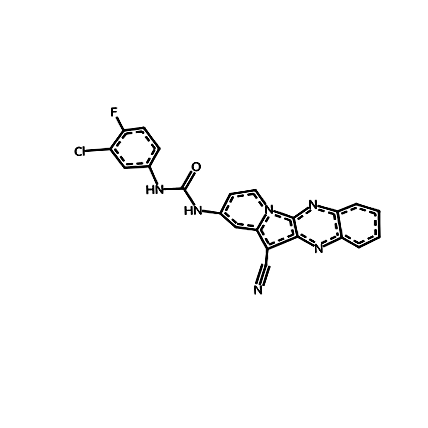 N#Cc1c2nc3ccccc3nc2n2ccc(NC(=O)Nc3ccc(F)c(Cl)c3)cc12